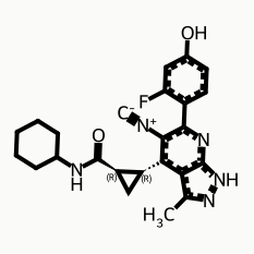 [C-]#[N+]c1c(-c2ccc(O)cc2F)nc2[nH]nc(C)c2c1[C@@H]1C[C@H]1C(=O)NC1CCCCC1